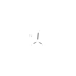 [N+3].[O-]B([O-])[O-]